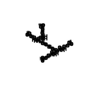 C=CS(=O)(=O)CCOCCOCCNC(=O)NCCC(CCNC(=O)NCCOCCOCCS(=O)(=O)C=C)OCCOCCSSCCOCCOC(CCNC(=O)NCCOCCOCCS(=O)(=O)C=C)CCNC(=O)NCCOCCOCCS(=O)(=O)C=C